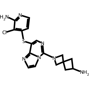 Nc1nccc(Sc2cnc(N3CC4(CC(N)C4)C3)n3ccnc23)c1Cl